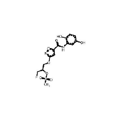 CS(=O)(=O)OC(CF)COc1cc(C(=O)Nc2cc(O)ccc2O)on1